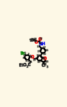 CCOC(=O)Cc1ccc(Br)cc1OCc1cc(-c2cccc(CNC(=O)OC(C)(C)C)c2)c2occ(C(F)(F)F)c2c1